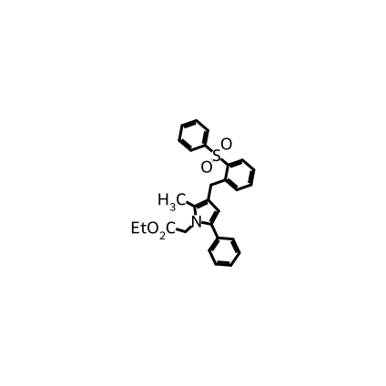 CCOC(=O)Cn1c(-c2ccccc2)cc(Cc2ccccc2S(=O)(=O)c2ccccc2)c1C